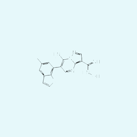 Cc1cc(-c2cnc3c(C(=N)NO)cnn3c2N)c2sccc2c1